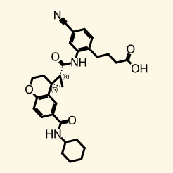 N#Cc1ccc(CCCC(=O)O)c(NC(=O)[C@@H]2C[C@]23CCOc2ccc(C(=O)NC4CCCCC4)cc23)c1